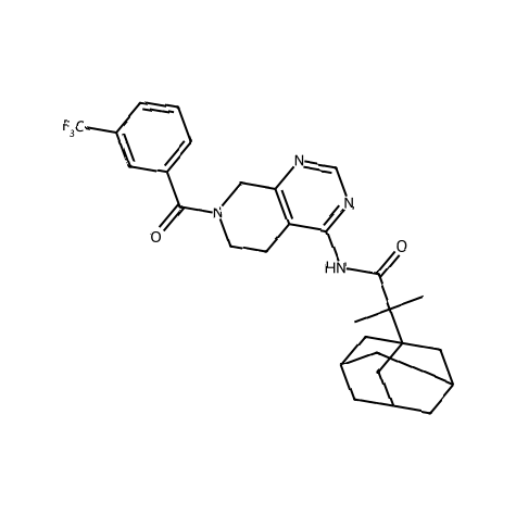 CC(C)(C(=O)Nc1ncnc2c1CCN(C(=O)c1cccc(C(F)(F)F)c1)C2)C12CC3CC(CC(C3)C1)C2